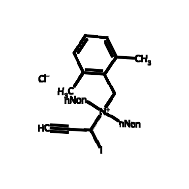 C#CC(I)[N+](CCCCCCCCC)(CCCCCCCCC)Cc1c(C)cccc1C.[Cl-]